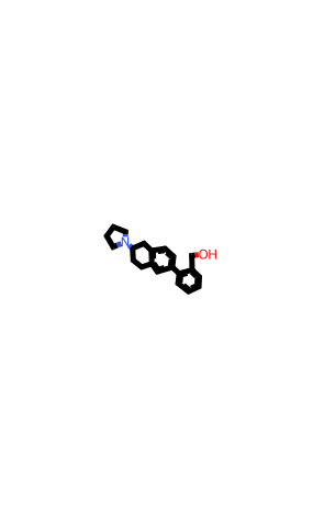 OCc1ccccc1-c1ccc2c(c1)CCC(N1CCCC1)C2